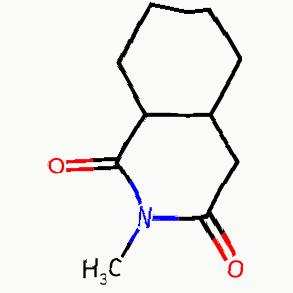 CN1C(=O)CC2CCCCC2C1=O